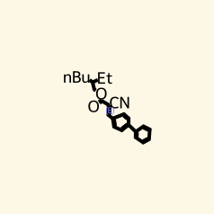 CCCCC(CC)COC(=O)/C(C#N)=C/c1ccc(-c2ccccc2)cc1